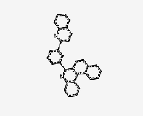 c1cc(-c2ccc3ccccc3n2)cc(-c2nc3ccccc3c3c2ccc2ccccc23)c1